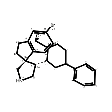 O=CN1CCC(c2ccccc2)CC1[C@@H]1CNC[C@]12CCc1cc(Br)ccc12